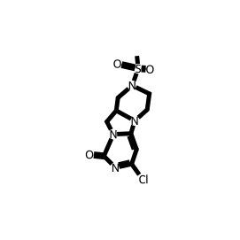 CS(=O)(=O)N1CCN2c3cc(Cl)nc(=O)n3CC2C1